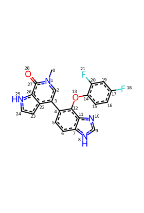 Cn1cc(-c2ccc3[nH]cnc3c2Oc2ccc(F)cc2F)c2cc[nH]c2c1=O